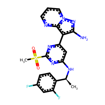 C[C@H](Nc1cc(-c2c(N)nn3cccnc23)nc(S(C)(=O)=O)n1)c1ccc(F)cc1F